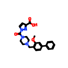 COc1cc(-c2ccccc2)ccc1CN1CCN(C(=O)n2ccc(C(=O)O)n2)CC1